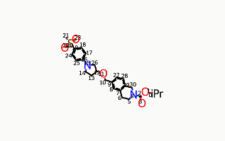 CC(C)OC(=O)N1CCc2cc(COC3CCN(c4ccc(S(C)(=O)=O)cc4)C3)ccc2C1